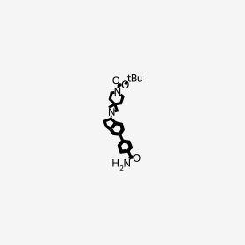 CC(C)(C)OC(=O)N1CCC2(CC1)CN([C@@H]1CCc3cc(-c4ccc(C(N)=O)cc4)ccc31)C2